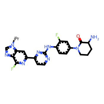 CC(C)n1cnc2c(F)nc(-c3ccnc(Nc4ccc(N5CCCC(N)C5=O)cc4F)n3)cc21